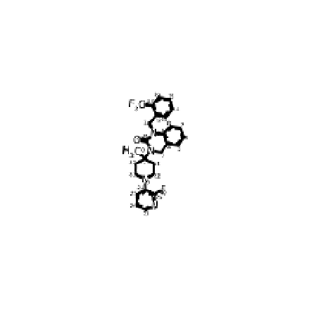 CC1(N2Cc3ccccc3N(Cc3ccccc3C(F)(F)F)C2=O)CCN(c2cccnc2F)CC1